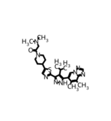 Cc1c(-c2[nH]nc(-c3ncc(C4CCN(C(=O)CN(C)C)CC4)s3)c2C(C)C)cn2ncnc2c1C